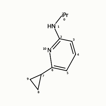 CC(C)Nc1cccc(C2CC2)n1